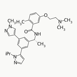 Cc1ccc(OCCN(C)C)cc1C(=O)N[C@H](C)c1cc(-c2cnn(C)c2)cc(-c2ccnn2C(C)C)c1